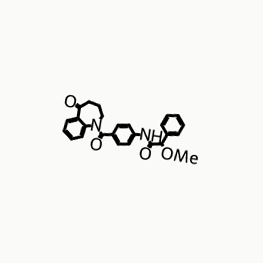 COC(C(=O)Nc1ccc(C(=O)N2CCCC(=O)c3ccccc32)cc1)c1ccccc1